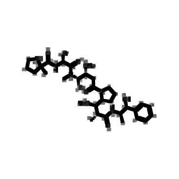 CC[C@H](C)[C@@H]([C@@H](CC(=O)N1CCC[C@H]1[C@H](OC)[C@@H](C)C(=O)N[C@H](C)[C@@H](O)c1ccccc1)OC)N(C)C(=O)[C@@H](NC(=O)[C@]1(C)CCCN1)C(C)C